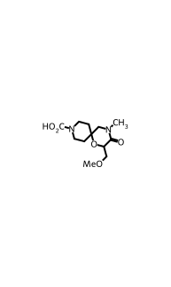 COCC1OC2(CCN(C(=O)O)CC2)CN(C)C1=O